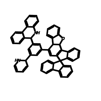 C1=CNC(c2cc(C3=CC4=C(c5ccccc5C45c4ccccc4-c4ccccc45)C4Oc5ccccc5C34)cc(C3Nc4ccccc4-c4ccccc43)c2)C=C1